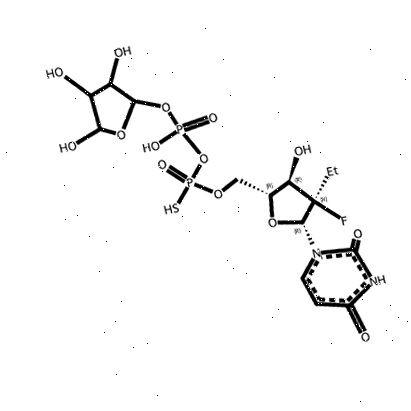 CC[C@@]1(F)[C@H](O)[C@@H](COP(=O)(S)OP(=O)(O)OC2OC(O)C(O)C2O)O[C@H]1n1ccc(=O)[nH]c1=O